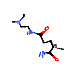 C[C@@H](C[CH]C(=O)NCCN(C)C)C(N)=O